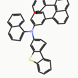 c1ccc(-c2cccc3cccc(-c4cccc(N(c5ccc6c(c5)sc5ccccc56)c5cccc6ccccc56)c4)c23)cc1